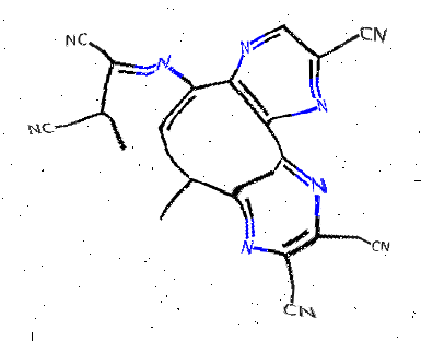 CC(C#N)/C(C#N)=N\C1=CC(C)c2nc(C#N)c(C#N)nc2-c2nc(C#N)cnc21